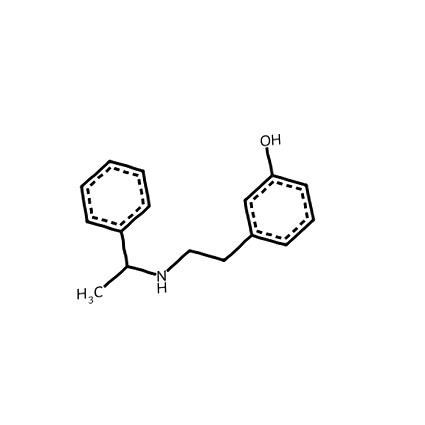 CC(NCCc1cccc(O)c1)c1ccccc1